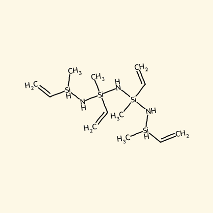 C=C[SiH](C)N[Si](C)(C=C)N[Si](C)(C=C)N[SiH](C)C=C